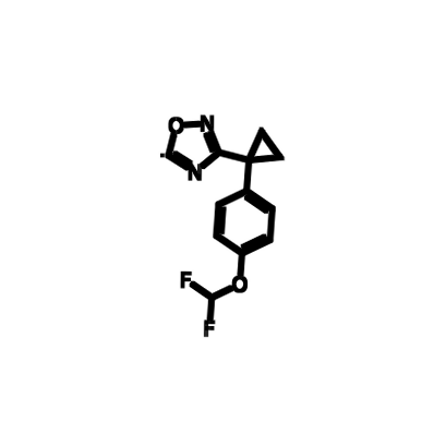 FC(F)Oc1ccc(C2(c3n[c]on3)CC2)cc1